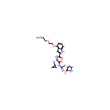 COCCOCCOc1cccc2[nH]c(C(=O)N[C@@H](CC3CC3)C(=O)N[C@H](C#N)C[C@@H]3CCNC3=O)cc12